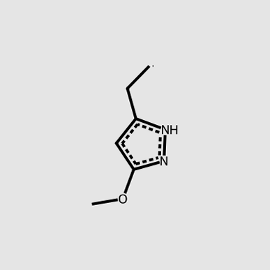 [CH2]Cc1cc(OC)n[nH]1